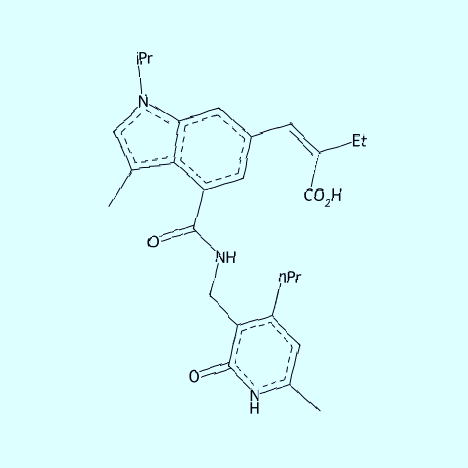 CCCc1cc(C)[nH]c(=O)c1CNC(=O)c1cc(C=C(CC)C(=O)O)cc2c1c(C)cn2C(C)C